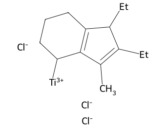 CCC1=C(C)C2=C(CCC[CH]2[Ti+3])C1CC.[Cl-].[Cl-].[Cl-]